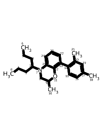 CCCC(CCC)N1CC(C)Oc2c(-c3ccc(C)cc3C)cccc21